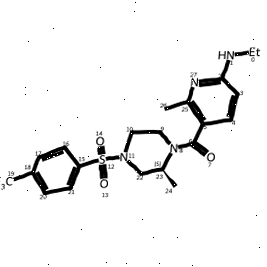 CCNc1ccc(C(=O)N2CCN(S(=O)(=O)c3ccc(C(F)(F)F)cc3)C[C@@H]2C)c(C)n1